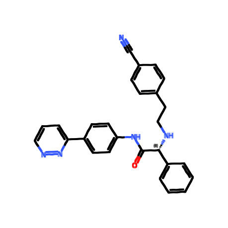 N#Cc1ccc(CCN[C@@H](C(=O)Nc2ccc(-c3cccnn3)cc2)c2ccccc2)cc1